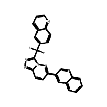 FC(F)(c1ccc2ncccc2c1)c1nnc2ccc(-c3cnc4ccccc4c3)nn12